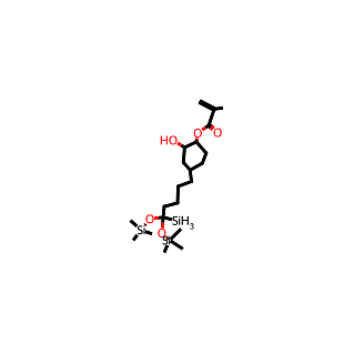 C=C(C)C(=O)OC1CCC(CCCCC([SiH3])(O[Si](C)(C)C)O[Si](C)(C)C)CC1O